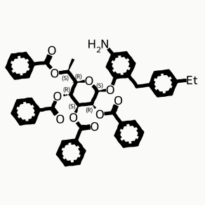 CCc1ccc(Cc2ccc(N)cc2O[C@@H]2O[C@H]([C@H](C)OC(=O)c3ccccc3)[C@@H](OC(=O)c3ccccc3)[C@H](OC(=O)c3ccccc3)[C@H]2OC(=O)c2ccccc2)cc1